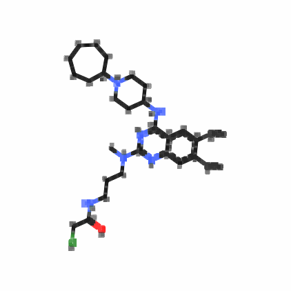 COc1cc2nc(N(C)CCCNC(=O)CCl)nc(NC3CCN(C4CCCCCC4)CC3)c2cc1OC